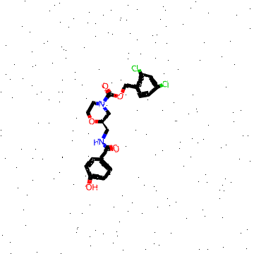 O=C(NC[C@@H]1CN(C(=O)OCc2ccc(Cl)cc2Cl)CCO1)c1ccc(O)cc1